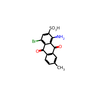 Cc1ccc2c(c1)C(=O)c1c(N)c(S(=O)(=O)O)cc(Br)c1C2=O